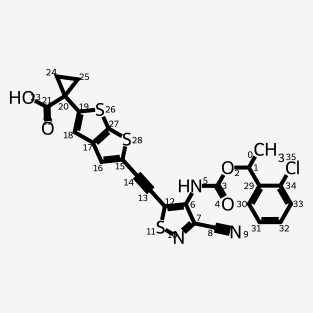 CC(OC(=O)Nc1c(C#N)nsc1C#Cc1cc2cc(C3(C(=O)O)CC3)sc2s1)c1ccccc1Cl